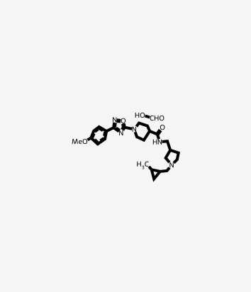 COc1ccc(-c2noc(N3CCC(C(=O)NCC4CCN(CC5CC5C)C4)CC3)n2)cc1.O=CO